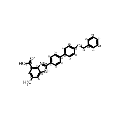 Cc1cc(C(=O)O)c2nc(-c3ccc(-c4ccc(OCc5ccccc5)cc4)cc3)[nH]c2c1